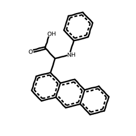 O=C(O)C(Nc1ccccc1)c1cccc2cc3ccccc3cc12